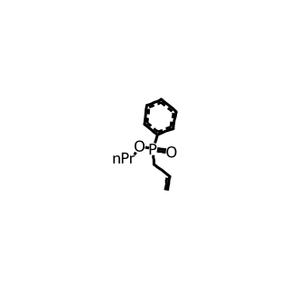 C=CCP(=O)(OCCC)c1ccccc1